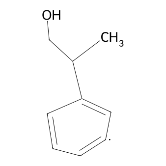 CC(CO)c1c[c]ccc1